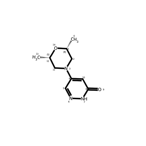 C[C@@H]1CN(c2cn[nH]c(=O)c2)C[C@H](C)O1